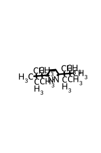 CC(C)(C)C(C)(C)c1ccc(C(C)(C)C(C)(C)C)nn1